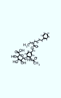 CCN(CSCCc1ccccc1)C(=O)OCc1ccc(OC2OC(C(=O)O)C(O)[C@H](O)[C@@H]2O)c(NC(C)=O)c1